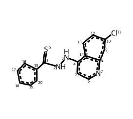 S=C(NNc1ccnc2cc(Cl)ccc12)c1ccccc1